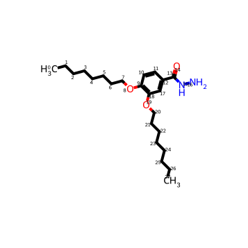 CCCCCCCCOc1ccc(C(=O)NN)cc1OCCCCCCCC